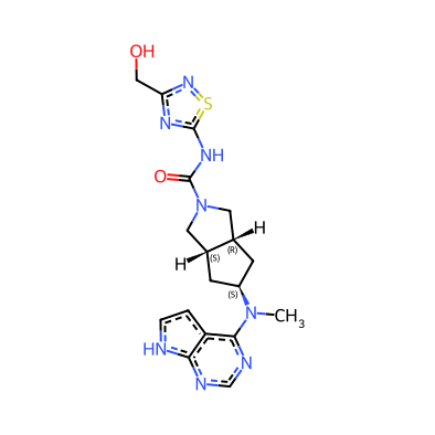 CN(c1ncnc2[nH]ccc12)[C@H]1C[C@@H]2CN(C(=O)Nc3nc(CO)ns3)C[C@@H]2C1